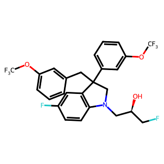 O[C@@H](CF)CN1CC(Cc2cccc(OC(F)(F)F)c2)(c2cccc(OC(F)(F)F)c2)c2cc(F)ccc21